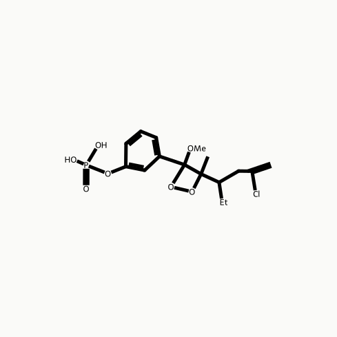 C=C(Cl)CC(CC)C1(C)OOC1(OC)c1cccc(OP(=O)(O)O)c1